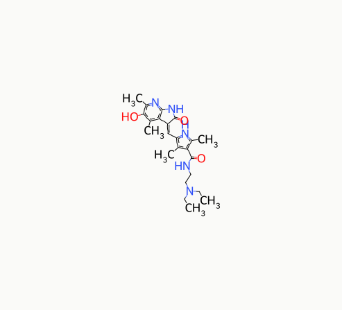 CCN(CC)CCNC(=O)c1c(C)[nH]c(/C=C2\C(=O)Nc3nc(C)c(O)c(C)c32)c1C